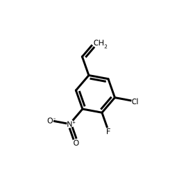 C=Cc1cc(Cl)c(F)c([N+](=O)[O-])c1